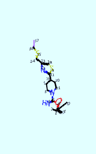 CC(C)(C)OC(=N)N1CCC(c2nc(CSCI)cs2)CC1